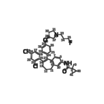 CC1(C(=O)Nc2ccc3c(c2)CCCC(c2ccc(Cl)cc2Cl)=C3c2ccc(O[C@H]3CCN(CCCF)C3)cc2)CC1